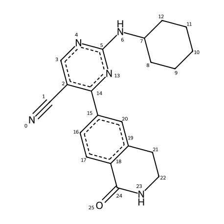 N#Cc1cnc(NC2CCCCC2)nc1-c1ccc2c(c1)CCNC2=O